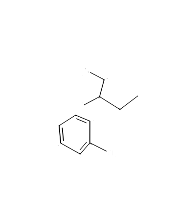 CCC(C)CN.Clc1ccccc1